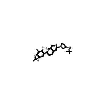 Cc1nc2c(C)c(O)c(-c3ccc4cc(N5CC[C@@H](NC(C)(C)C)C5)ncc4n3)cc2o1